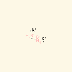 [BH4-].[BH4-].[K+].[K+]